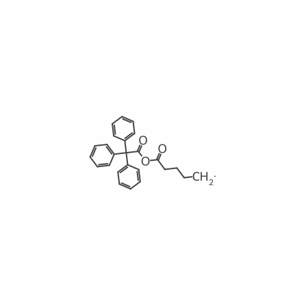 [CH2]CCCC(=O)OC(=O)C(c1ccccc1)(c1ccccc1)c1ccccc1